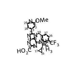 COc1cc(-c2nc3nc(C(=O)O)nc(N[C@H](C)C4CC4)c3n2Cc2ccc(C(F)(F)F)cc2)ccn1